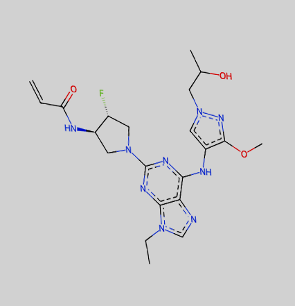 C=CC(=O)N[C@@H]1CN(c2nc(Nc3cn(CC(C)O)nc3OC)c3ncn(CC)c3n2)C[C@H]1F